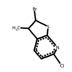 CC1c2ccc(Cl)nc2SC1Br